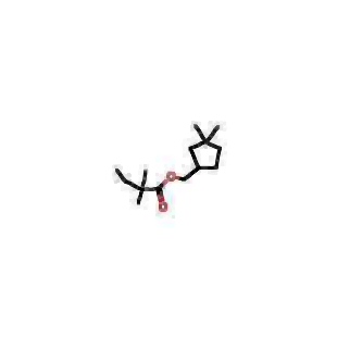 CCC(C)(C)C(=O)OCC1CCC(C)(C)C1